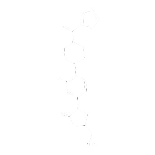 CC(=O)NCC1CN(c2ccc(N3CCN(C(=S)c4cnco4)CC3)c(F)c2)C(=O)O1